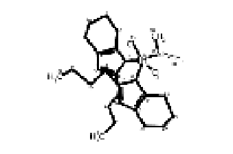 CCCCC1=CC2=C(CCCC2)[CH]1[Hf]([Cl])([Cl])([CH]1C(CCCC)=CC2=C1CCCC2)[SiH](C)C